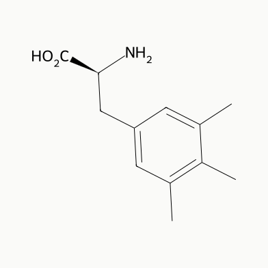 Cc1cc(C[C@H](N)C(=O)O)cc(C)c1C